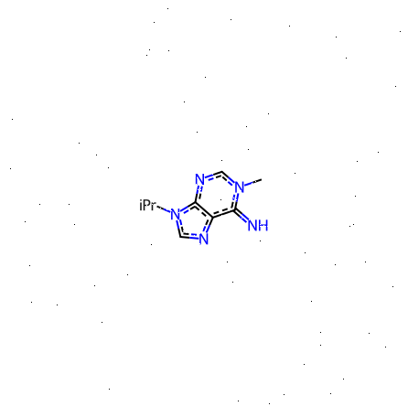 CC(C)n1cnc2c(=N)n(C)cnc21